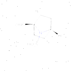 O=C[C@]12CC[C@H](CC1)N2C(=O)O